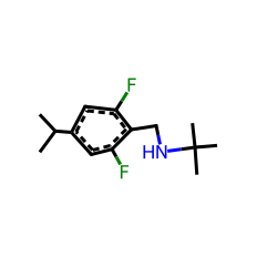 CC(C)c1cc(F)c(CNC(C)(C)C)c(F)c1